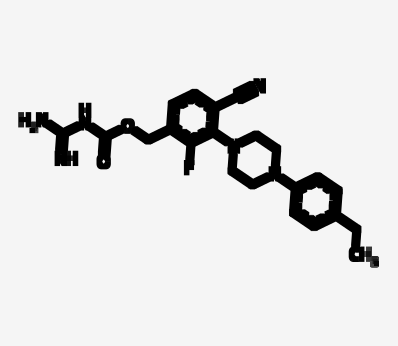 CCc1ccc(N2CCN(c3c(C#N)ccc(COC(=O)NC(=N)N)c3F)CC2)cc1